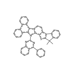 CC1(C)c2ccccc2-c2c1sc1c2ccc2c3c4ccccc4c4ccccc4c3n(-c3nc(-c4ccccc4)c4ccccc4n3)c21